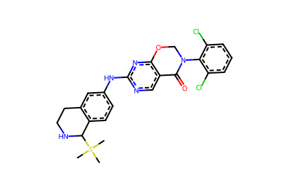 CS(C)(C)C1NCCc2cc(Nc3ncc4c(n3)OCN(c3c(Cl)cccc3Cl)C4=O)ccc21